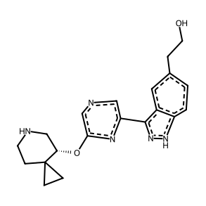 OCCc1ccc2[nH]nc(-c3cncc(O[C@H]4CNCCC45CC5)n3)c2c1